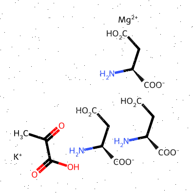 CC(=O)C(=O)O.N[C@@H](CC(=O)O)C(=O)[O-].N[C@@H](CC(=O)O)C(=O)[O-].N[C@@H](CC(=O)O)C(=O)[O-].[K+].[Mg+2]